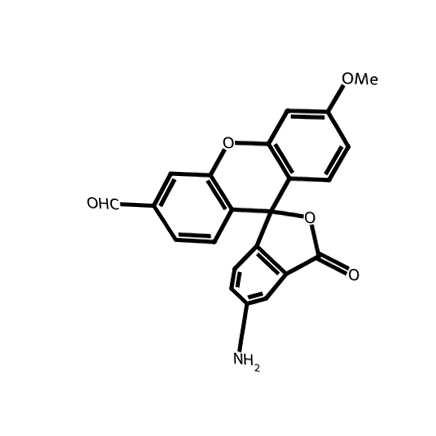 COc1ccc2c(c1)Oc1cc(C=O)ccc1C21OC(=O)c2cc(N)ccc21